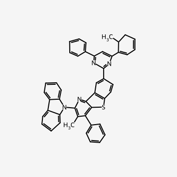 Cc1c(-n2c3ccccc3c3ccccc32)nc2c(sc3ccc(-c4nc(C5=CC=CCC5C)cc(-c5ccccc5)n4)cc32)c1-c1ccccc1